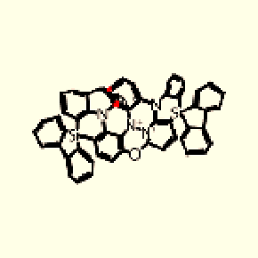 c1ccc2c(c1)-c1ccccc1[Si]21c2ccccc2N2c3ccccc3[N+]34c5c(ccc6c5-n5c7c(cccc7c7ccc[n+]3c75)[Si]63c5ccccc5-c5ccccc53)Oc3ccc1c2[n+]34